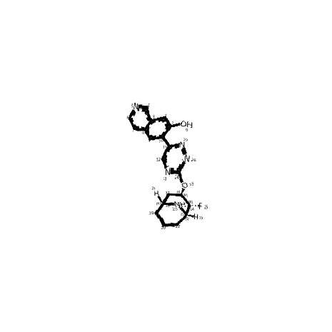 Oc1cc2cnccc2cc1-c1cnc(O[C@@H]2C[C@H]3CCC[C@H](N3)[C@H]2F)nn1